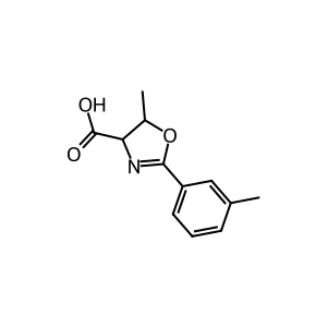 Cc1cccc(C2=NC(C(=O)O)C(C)O2)c1